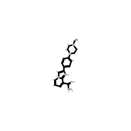 CC(C)N1CCN(c2ccc(-c3cn4cccc(C(N)=O)c4n3)cc2)CC1